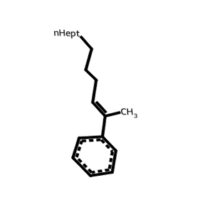 CCCCCCCCCCC=C(C)c1ccccc1